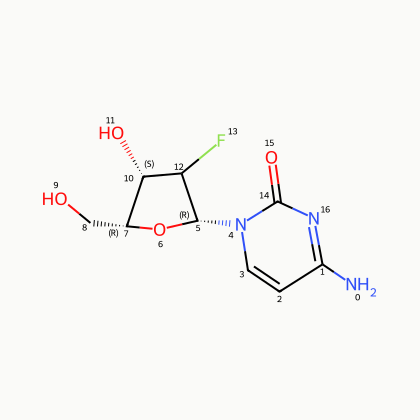 Nc1ccn([C@@H]2O[C@H](CO)[C@H](O)C2F)c(=O)n1